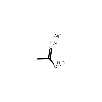 CC(=O)[O-].O.O.[Ag+]